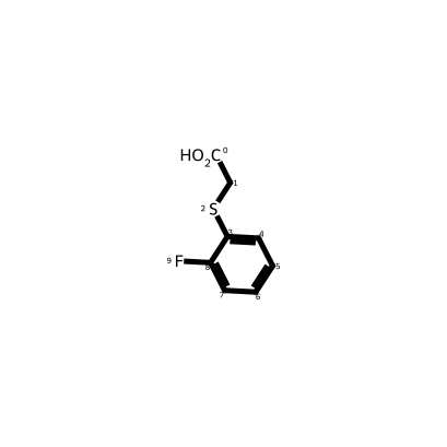 O=C(O)CSc1ccccc1F